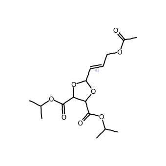 CC(=O)OC/C=C/C1OC(C(=O)OC(C)C)C(C(=O)OC(C)C)O1